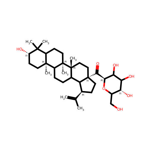 C=C(C)[C@@H]1CC[C@]2(C(=O)[C@@H]3OC(CO)[C@@H](O)C(O)C3O)CC[C@]3(C)C(CCC4[C@@]5(C)CC[C@H](O)C(C)(C)C5CC[C@]43C)C12